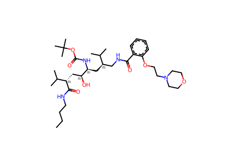 CCCCNC(=O)[C@@H](C[C@H](O)[C@H](C[C@H](CNC(=O)c1ccccc1OCCN1CCOCC1)C(C)C)NC(=O)OC(C)(C)C)C(C)C